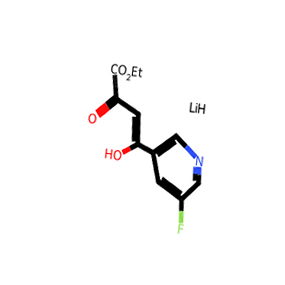 CCOC(=O)C(=O)C=C(O)c1cncc(F)c1.[LiH]